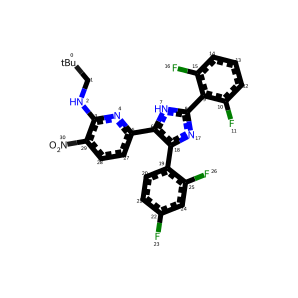 CC(C)(C)CNc1nc(-c2[nH]c(-c3c(F)cccc3F)nc2-c2ccc(F)cc2F)ccc1[N+](=O)[O-]